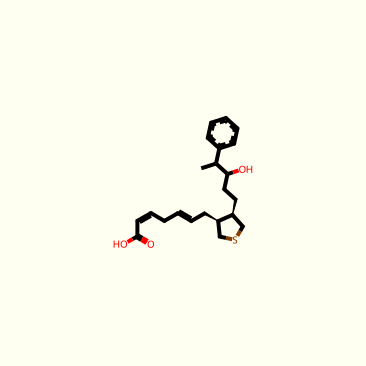 CC(c1ccccc1)C(O)CC[C@H]1CSC[C@H]1CC=CC/C=C\C(=O)O